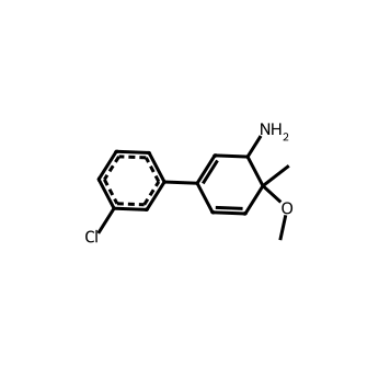 COC1(C)C=CC(c2cccc(Cl)c2)=CC1N